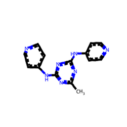 Cc1nc(Nc2ccncc2)nc(Nc2ccncc2)n1